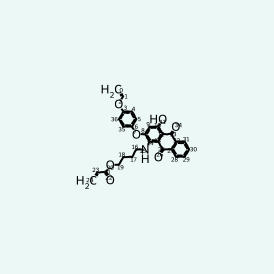 C=COc1ccc(Oc2cc(O)c3c(c2NCCCCOC(=O)C=C)C(=O)c2ccccc2C3=O)cc1